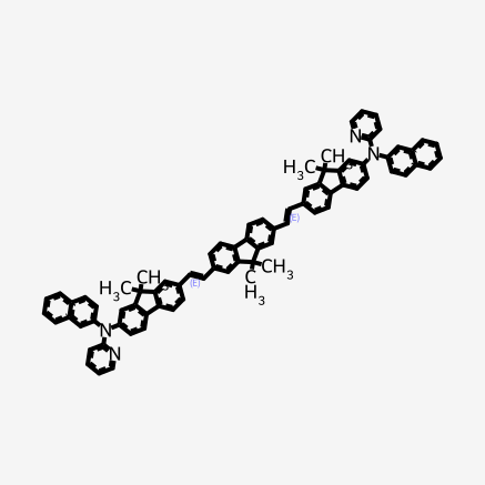 CC1(C)c2cc(/C=C/c3ccc4c(c3)C(C)(C)c3cc(N(c5ccc6ccccc6c5)c5ccccn5)ccc3-4)ccc2-c2ccc(/C=C/c3ccc4c(c3)C(C)(C)c3cc(N(c5ccc6ccccc6c5)c5ccccn5)ccc3-4)cc21